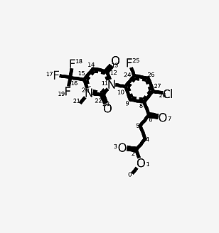 COC(=O)CCC(=O)c1cc(-n2c(=O)cc(C(F)(F)F)n(C)c2=O)c(F)cc1Cl